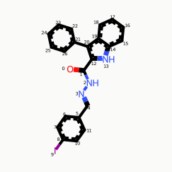 O=C(NN=Cc1ccc(I)cc1)c1[nH]c2ccccc2c1-c1ccccc1